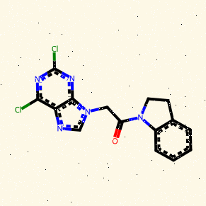 O=C(Cn1cnc2c(Cl)nc(Cl)nc21)N1CCc2ccccc21